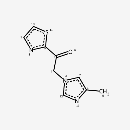 Cc1cn(CC(=O)c2nccs2)cn1